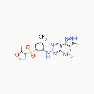 Cc1[nH]nc(-c2cnc(Nc3cc(C(F)(F)F)cc(S(=O)(=O)C4CCOC4C)c3)nc2N)c1C